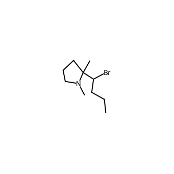 CCCC(Br)C1(C)CCCN1C